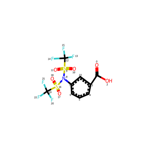 O=C(O)c1cccc(N(S(=O)(=O)C(F)(F)F)S(=O)(=O)C(F)(F)F)c1